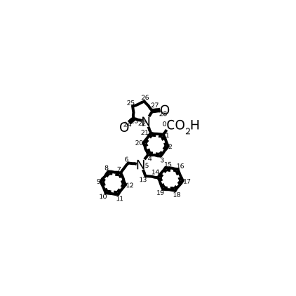 O=C(O)c1ccc(N(Cc2ccccc2)Cc2ccccc2)cc1N1C(=O)CCC1=O